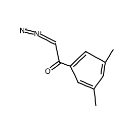 Cc1cc(C)cc(C(=O)C=[N+]=[N-])c1